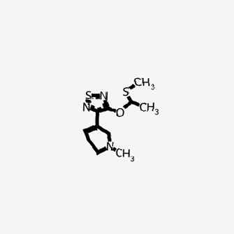 CSC(C)Oc1nsnc1C1=CCCN(C)C1